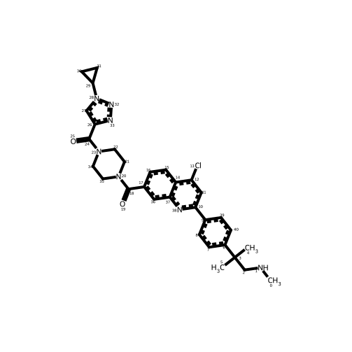 CNCC(C)(C)c1ccc(-c2cc(Cl)c3ccc(C(=O)N4CCN(C(=O)c5cn(C6CC6)nn5)CC4)cc3n2)cc1